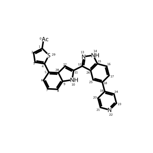 CC(=O)c1ccc(-c2cccc3[nH]c(-c4n[nH]c5ccc(-c6ccncc6)cc45)cc23)s1